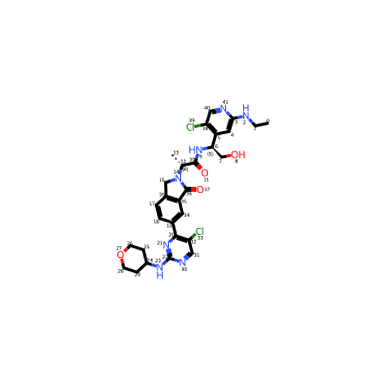 CCNc1cc([C@@H](CO)NC(=O)[C@@H](C)N2Cc3ccc(-c4nc(NC5CCOCC5)ncc4Cl)cc3C2=O)c(Cl)cn1